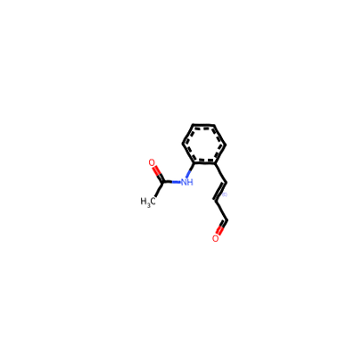 CC(=O)Nc1ccccc1/C=C/C=O